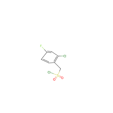 O=S(=O)(Cl)Cc1ccc(F)cc1Cl